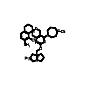 N#Cc1c(N)ccc2c1[C@@]1(CCC2)Cc2nc(OC[C@@]34CCCN3C[C@H](F)C4)nc(N3CCC[C@@H](C#N)CC3)c2CO1